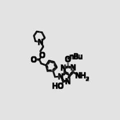 CCCCOc1nc(N)c2nc(O)n(Cc3cccc(CC(=O)OCCN4CCCCC4)c3)c2n1